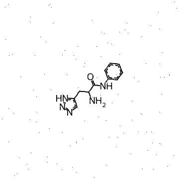 NC(Cc1cnn[nH]1)C(=O)Nc1ccccc1